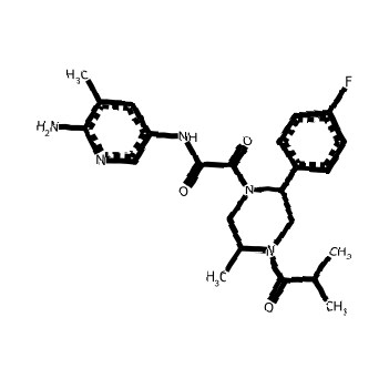 Cc1cc(NC(=O)C(=O)N2CC(C)N(C(=O)C(C)C)CC2c2ccc(F)cc2)cnc1N